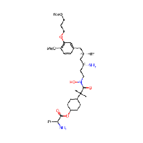 COCCCOc1cc(C[C@@H](C[C@H](N)CCN(O)C(=O)C(C)(C)C2CCC(OC(=O)C(N)C(C)C)CC2)C(C)C)ccc1OC